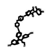 O=C1CCC(N2C(=O)c3ccc(N4CC5CCC4CN5CC4CCN(c5ccc(C(=C(CCCl)c6ccc(O)cc6)c6ccc(O)cc6)cc5)CC4)cc3C2=O)C(=O)N1